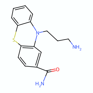 NCCCN1c2ccccc2Sc2ccc(C(N)=O)cc21